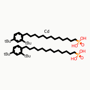 CC(C)(C)c1ccc(CCCCCCCCCCCCCP(=O)(O)O)c(C(C)(C)C)c1.CC(C)(C)c1ccc(CCCCCCCCCCCCCP(=O)(O)O)c(C(C)(C)C)c1.[Cd]